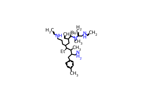 C=CNCCCC(CC(C=C)C(C(C)CC)N(C)C(=C)CNC=C)C(CC)C(C)C(CN)Cc1ccc(C)cc1